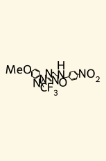 COc1ccc2c(c1)nc(C(F)(F)F)n2-c1cnc(NC(=O)c2ccc([N+](=O)[O-])cc2)cn1